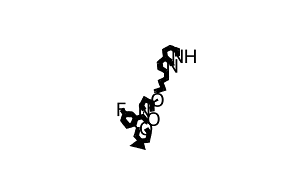 O=C[C@H](c1cc(F)ccc1[C@@H]1CC2(CCO1)CC2)N1CC[C@@H](OCCCCc2ccc3c(n2)NCCC3)C1